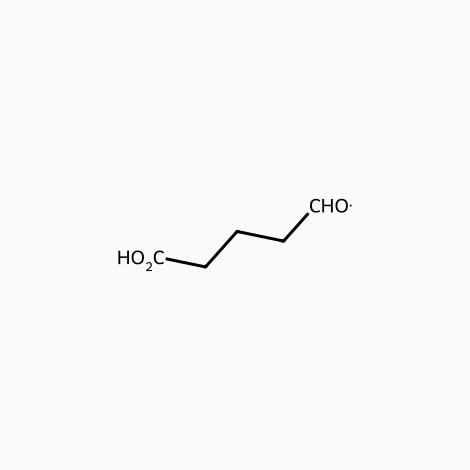 O=[C]CCCC(=O)O